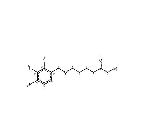 O=C(CBr)CCCCOCc1ccc(F)c(F)c1F